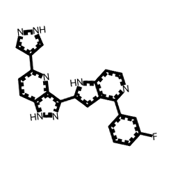 Fc1cccc(-c2nccc3[nH]c(-c4n[nH]c5ccc(-c6cn[nH]c6)nc45)cc23)c1